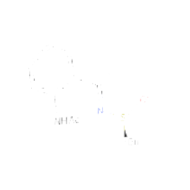 CC(=O)Nc1ccccc1C(C)=N[S@@+]([O-])C(C)(C)C